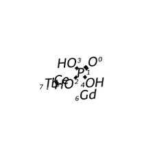 O=P(O)(O)O.[Ce].[Gd].[Tb]